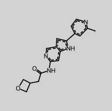 Cc1cc(-c2cc3cnc(NC(=O)CC4COC4)cc3[nH]2)ccn1